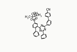 CC1(C)OB(c2ccc(-c3ccccc3)c(-c3nc(-c4ccccc4)nc(-c4cccc(-c5ccc(C#N)cc5)c4)n3)c2)OC1(C)C